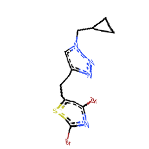 Brc1nc(Br)c(Cc2cn(CC3CC3)nn2)s1